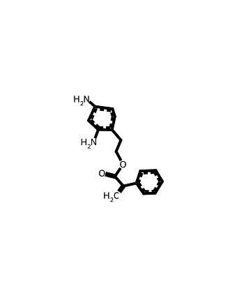 C=C(C(=O)OCCc1ccc(N)cc1N)c1ccccc1